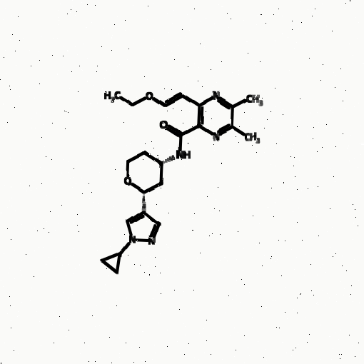 CCO/C=C/c1nc(C)c(C)nc1C(=O)N[C@H]1CCO[C@@H](c2cnn(C3CC3)c2)C1